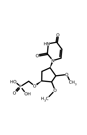 COC1C(OC)[C@H](n2ccc(=O)[nH]c2=O)C[C@@H]1OCP(=O)(O)O